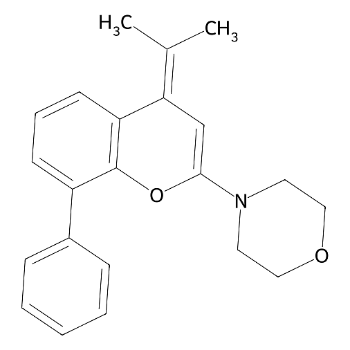 CC(C)=C1C=C(N2CCOCC2)Oc2c1cccc2-c1ccccc1